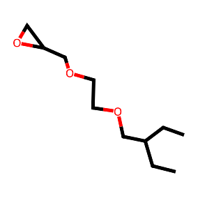 CCC(CC)COCCOCC1CO1